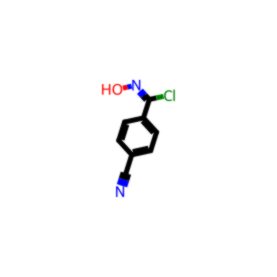 N#Cc1ccc(/C(Cl)=N\O)cc1